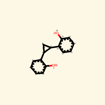 Oc1ccccc1C1CC1c1ccccc1O